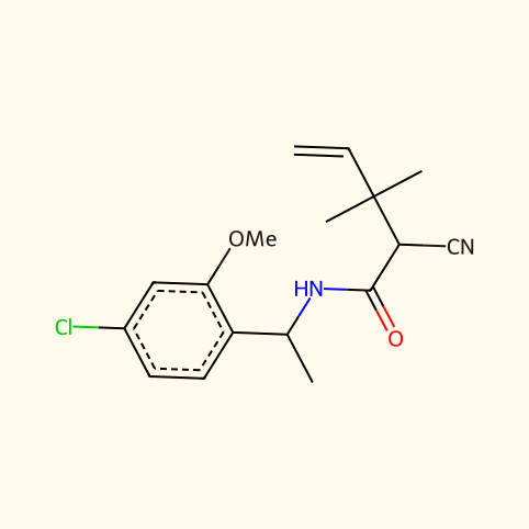 C=CC(C)(C)C(C#N)C(=O)NC(C)c1ccc(Cl)cc1OC